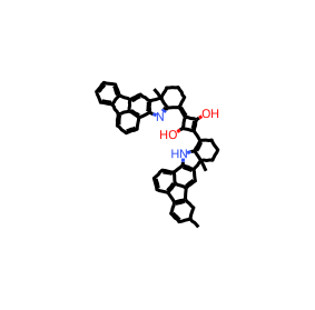 CC1C=CC2=C(C1)c1cc3c(c4cccc2c14)NC1=C(C2=C(O)/C(=C4\CCCC5(C)C4=Nc4c5cc5c6c(cccc46)-c4ccccc4-5)C2O)CCCC13C